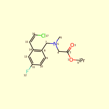 CC(C)OC(=O)CN(C)Cc1ccc(F)cc1/C=C\Cl